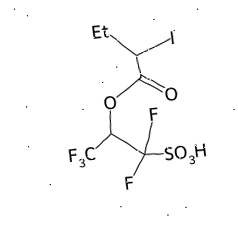 CCC(I)C(=O)OC(C(F)(F)F)C(F)(F)S(=O)(=O)O